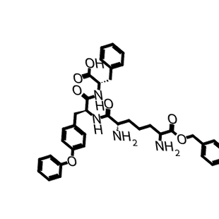 NC(CCC[C@H](N)C(=O)N[C@@H](Cc1ccc(Oc2ccccc2)cc1)C(=O)N[C@@H](Cc1ccccc1)C(=O)O)C(=O)OCc1ccccc1